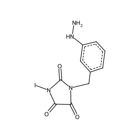 NNc1cccc(CN2C(=O)C(=O)N(I)C2=O)c1